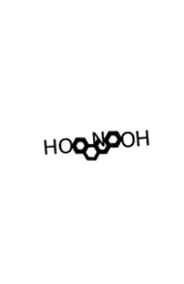 Oc1ccc2c(c1)CCc1cc3cc(O)ccc3nc1-2